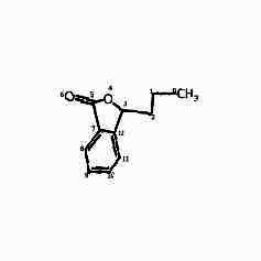 CCCC1OC(=O)c2ccccc21